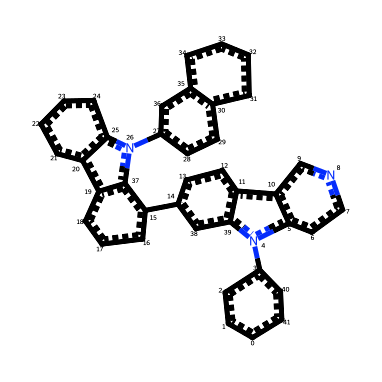 c1ccc(-n2c3ccncc3c3ccc(-c4cccc5c6ccccc6n(-c6ccc7ccccc7c6)c45)cc32)cc1